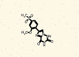 COc1cc(S(C)(=O)=O)ccc1-c1cn2[nH]c(=O)[nH]c(=O)c2n1